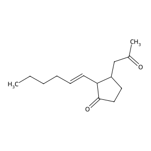 CCCCC=CC1C(=O)CCC1CC(C)=O